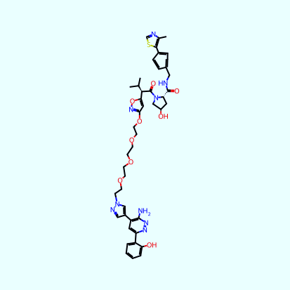 Cc1ncsc1-c1ccc(CNC(=O)[C@@H]2C[C@@H](O)CN2C(=O)[C@@H](c2cc(OCCOCCOCCOCCn3cc(-c4cc(-c5ccccc5O)nnc4N)cn3)no2)C(C)C)cc1